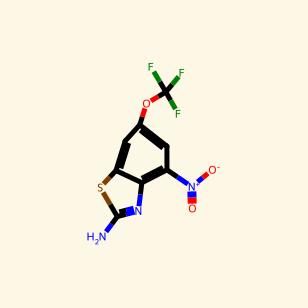 Nc1nc2c([N+](=O)[O-])cc(OC(F)(F)F)cc2s1